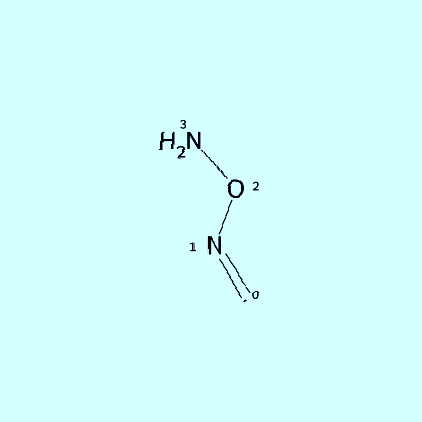 [CH]=NON